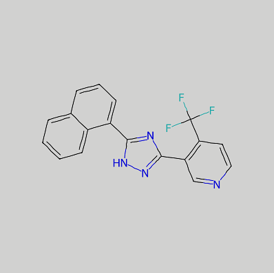 FC(F)(F)c1ccncc1-c1n[nH]c(-c2cccc3ccccc23)n1